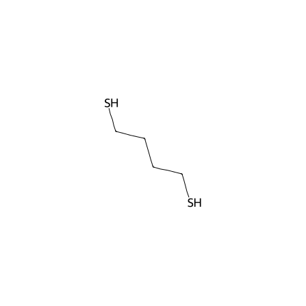 SCCCCS